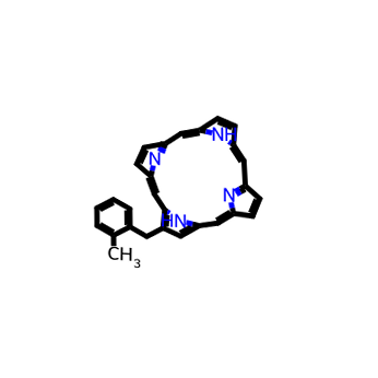 Cc1ccccc1Cc1cc2cc3nc(cc4ccc(cc5nc(cc1[nH]2)C=C5)[nH]4)C=C3